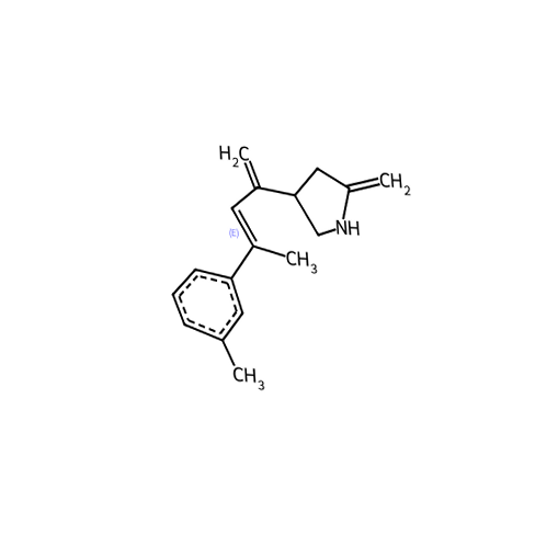 C=C1CC(C(=C)/C=C(\C)c2cccc(C)c2)CN1